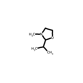 CC(C)C1OCCN1C